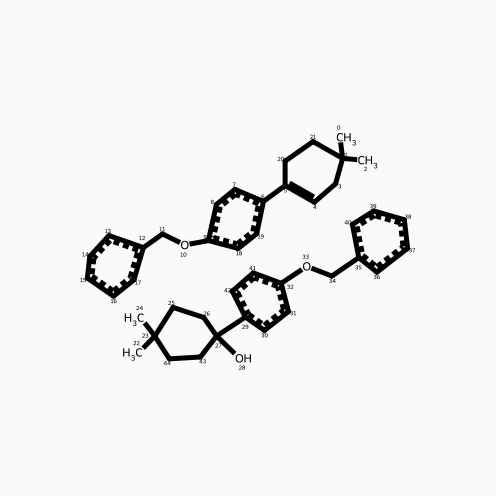 CC1(C)CC=C(c2ccc(OCc3ccccc3)cc2)CC1.CC1(C)CCC(O)(c2ccc(OCc3ccccc3)cc2)CC1